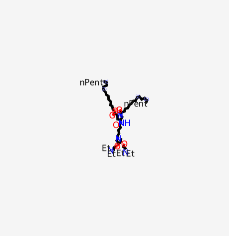 CCCCC/C=C\C/C=C\CCCCCCCCOC(=O)C1CC(NC(=O)CCCCN2CC(OCCN(CC)CC)C(OCCN(CC)CC)C2)CN1C(=O)CCCCCCC/C=C\C/C=C\CCCCC